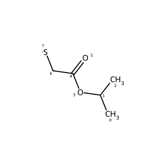 CC(C)OC(=O)C[S]